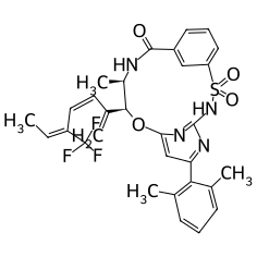 C=C(/C=C\C(=C/C)C(F)(F)F)[C@@H]1Oc2cc(-c3c(C)cccc3C)nc(n2)NS(=O)(=O)c2cccc(c2)C(=O)N[C@@H]1C